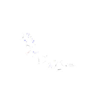 COc1ccc2nc(-c3ccc(CNC(=O)c4cnc5nccn5c4)cc3)sc2c1